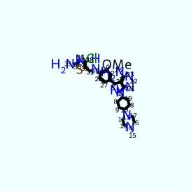 COc1cc(-c2nn(C3CCC(N4CCN(C)CC4)CC3)c3ncnc(N)c23)ccc1NCc1sc(N)nc1Cl